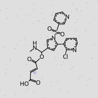 CNC(OC(=O)/C=C/C(=O)O)c1cc(-c2cccnc2Cl)n(S(=O)(=O)c2cccnc2)c1